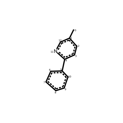 Cc1[c]cc(-c2ccccc2)nc1